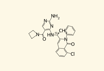 C[C@H](Nc1nc(N)ncc1C(=O)N1CCC1)c1cc2cccc(Cl)c2c(=O)n1-c1ccccc1